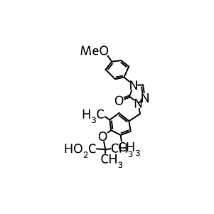 COc1ccc(-n2cnn(Cc3cc(C)c(OC(C)(C)C(=O)O)c(C)c3)c2=O)cc1